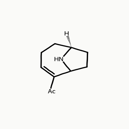 CC(=O)C1=CCC[C@H]2CCC1N2